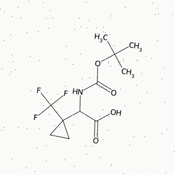 CC(C)(C)OC(=O)NC(C(=O)O)C1(C(F)(F)F)CC1